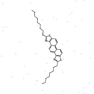 CCCCCCCCSc1nc2c(ccc3c4ccc5sc(CCCCCCCC)nc5c4ccc32)s1